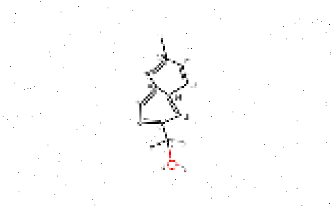 COC(C)(C)c1ccc2cc(C)ccc2c1